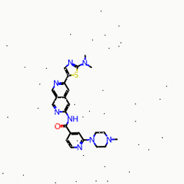 CN1CCN(c2cc(C(=O)Nc3cc4cc(-c5cnc(N(C)C)s5)ncc4cn3)ccn2)CC1